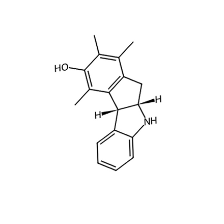 Cc1c(C)c2c(c(C)c1O)[C@H]1c3ccccc3N[C@H]1C2